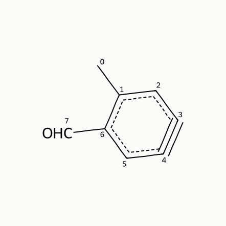 Cc1cc#ccc1C=O